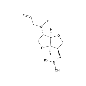 C=CC[S+]([O-])[C@H]1CO[C@H]2[C@@H]1OC[C@H]2ON(O)O